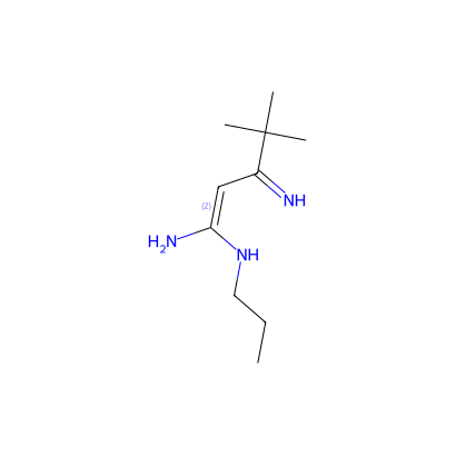 CCCN/C(N)=C\C(=N)C(C)(C)C